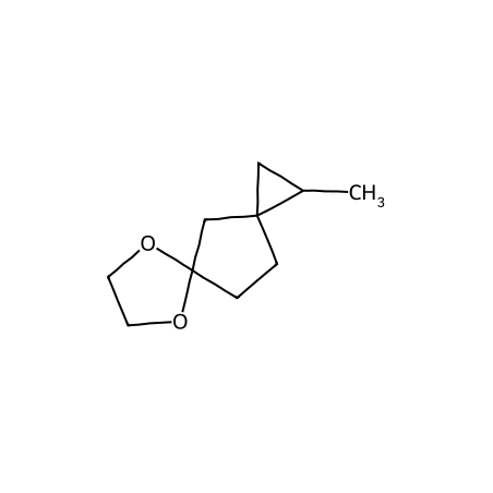 CC1CC12CCC1(C2)OCCO1